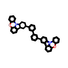 c1cc(-c2cccc(C3CCC4C(C3)c3cccc5c3N4c3ccccc3O5)c2)cc(-c2ccc3c(c2)c2cccc4c2n3-c2ccccc2O4)c1